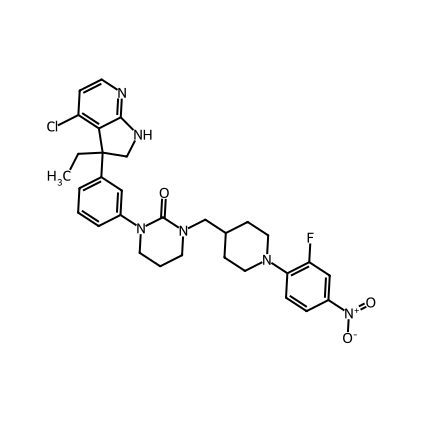 CCC1(c2cccc(N3CCCN(CC4CCN(c5ccc([N+](=O)[O-])cc5F)CC4)C3=O)c2)CNc2nccc(Cl)c21